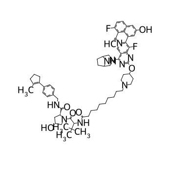 C#Cc1c(F)ccc2cc(O)cc(-c3ncc4c(N5CC6CCC(C5)N6)nc(OC5CCN(CCCCCCCCCC(=O)NC(C(=O)N6C[C@H](O)C[C@H]6C(=O)NCc6ccc(C7=C(C)CCC7)cc6)C(C)(C)C)CC5)nc4c3F)c12